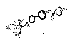 CC(C)C[C@H](NC(c1ccc(-c2ccc(OC(=O)N3CCNCC3)cc2)cc1)C(F)(F)F)C(=O)NCC#N